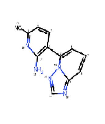 N#Cc1ccc(-c2cccc3ncnn23)c(N)n1